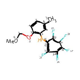 COCOc1ccc(C)cc1Pc1c(F)c(F)c(F)c(F)c1F